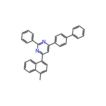 Cc1ccc(-c2cc(-c3ccc(-c4ccccc4)cc3)nc(-c3ccccc3)n2)c2ccccc12